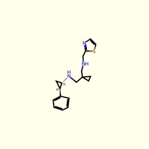 c1ccc([C@H]2C[C@@H]2NCC2(CNCc3nccs3)CC2)cc1